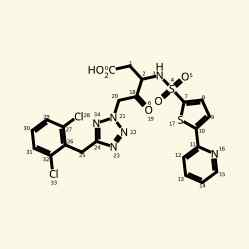 O=C(O)CC(NS(=O)(=O)c1ccc(-c2ccccn2)s1)C(=O)Cn1nnc(Cc2c(Cl)cccc2Cl)n1